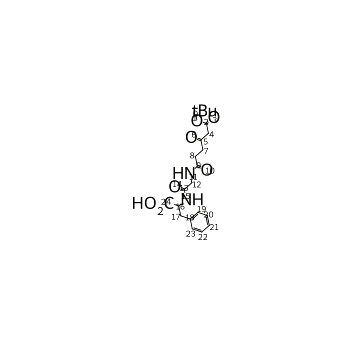 CC(C)(C)OC(=O)CC(=O)CCC(=O)NCC(=O)NC(Cc1ccccc1)C(=O)O